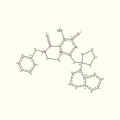 O=C1c2c(O)c(=O)nc(CC3(c4cccc5ccccc45)CCCC3)n2CCN1Cc1ccccc1